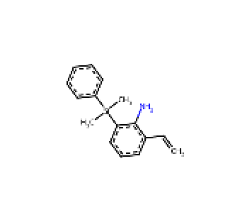 C=Cc1cccc([Si](C)(C)c2ccccc2)c1N